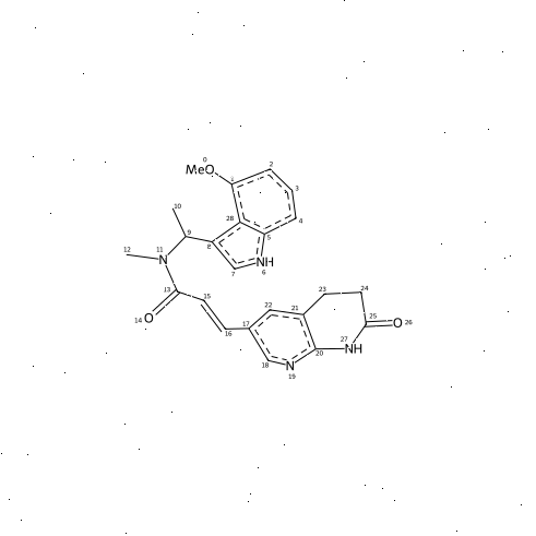 COc1cccc2[nH]cc(C(C)N(C)C(=O)C=Cc3cnc4c(c3)CCC(=O)N4)c12